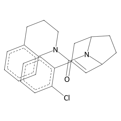 O=C(N1CCCc2ccccc21)N1C2C=C(c3ccccc3Cl)CC1CC2